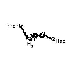 CCCCCCOCCCCc1ccc(-c2ccc3c(c2)OC([SiH2]C(C)CCCCCCC(C)CCCCC)O3)cn1